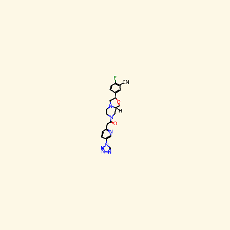 N#Cc1cc([C@@H]2CN3CCN(C(=O)Cc4ccc(-n5cnnn5)cn4)C[C@H]3CO2)ccc1F